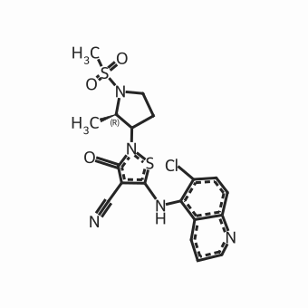 C[C@@H]1C(n2sc(Nc3c(Cl)ccc4ncccc34)c(C#N)c2=O)CCN1S(C)(=O)=O